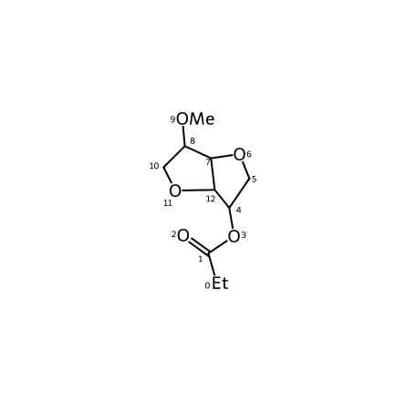 CCC(=O)OC1COC2C(OC)COC12